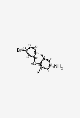 Cc1cc(N)cc(C)c1Oc1cccc(Br)c1